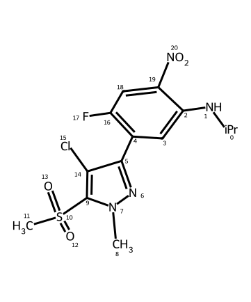 CC(C)Nc1cc(-c2nn(C)c(S(C)(=O)=O)c2Cl)c(F)cc1[N+](=O)[O-]